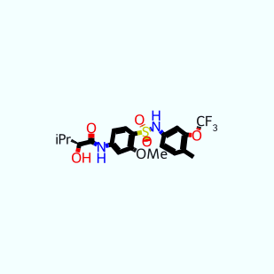 COc1cc(NC(=O)[C@@H](O)C(C)C)ccc1S(=O)(=O)Nc1ccc(C)c(OC(F)(F)F)c1